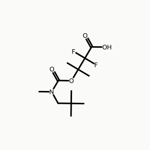 CN(CC(C)(C)C)C(=O)OC(C)(C)C(F)(F)C(=O)O